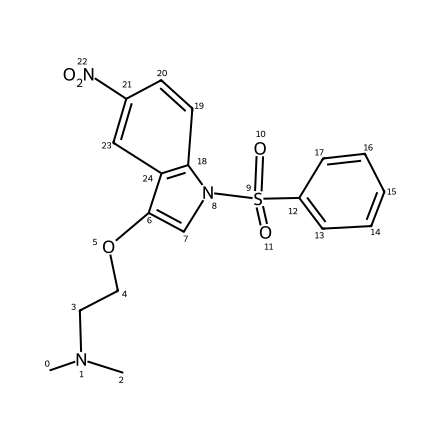 CN(C)CCOc1cn(S(=O)(=O)c2ccccc2)c2ccc([N+](=O)[O-])cc12